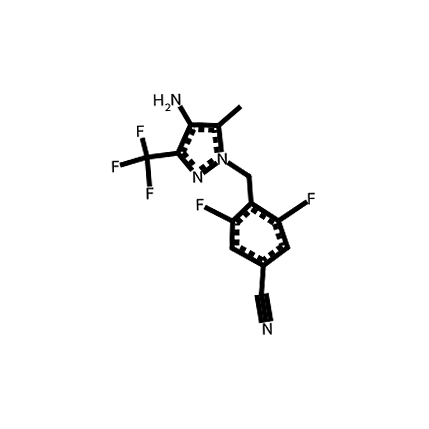 Cc1c(N)c(C(F)(F)F)nn1Cc1c(F)cc(C#N)cc1F